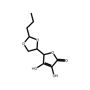 CCCC1OCC(C2OC(=O)C(O)=C2O)O1